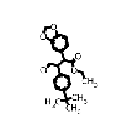 CCOC(=O)C(c1ccc2c(c1)OCO2)C(C=O)c1ccc(C(C)(C)C)cc1